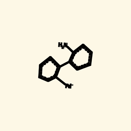 Nc1ccccc1-c1cccc[c]1[Pd-]